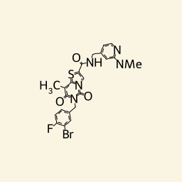 CNc1cc(CNC(=O)c2cn3c(=O)n(Cc4ccc(F)c(Br)c4)c(=O)c(C)c3s2)ccn1